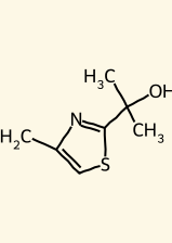 [CH2]c1csc(C(C)(C)O)n1